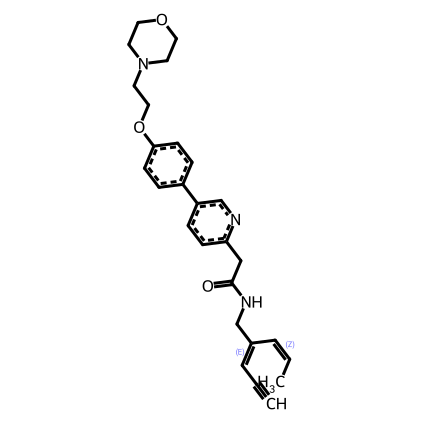 C#C/C=C(\C=C/C)CNC(=O)Cc1ccc(-c2ccc(OCCN3CCOCC3)cc2)cn1